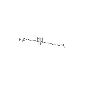 CCCCCCCCCCCCNC(=O)NCCCCCCCCC